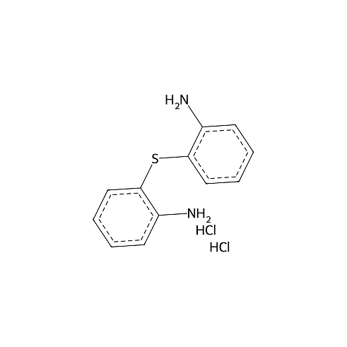 Cl.Cl.Nc1ccccc1Sc1ccccc1N